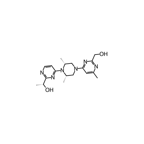 Cc1cc(N2C[C@@H](C)N(c3ccnc([C@@H](C)O)n3)[C@@H](C)C2)nc(CO)n1